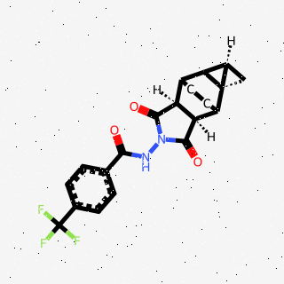 O=C(NN1C(=O)[C@@H]2C3CCC(C4[C@H]5C[C@]345)[C@@H]2C1=O)c1ccc(C(F)(F)F)cc1